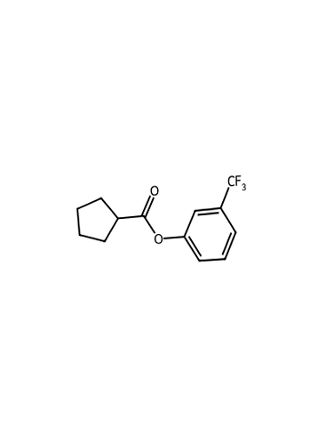 O=C(Oc1cccc(C(F)(F)F)c1)C1CCCC1